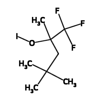 CC(C)(C)CC(C)(OI)C(F)(F)F